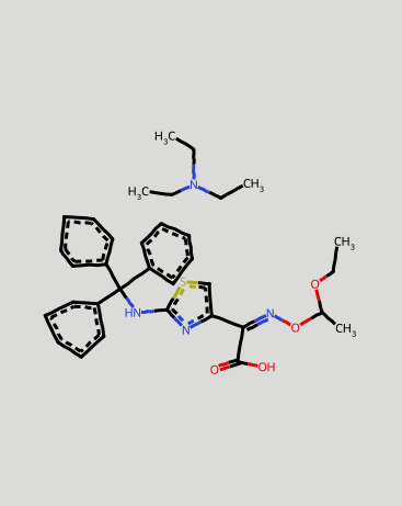 CCN(CC)CC.CCOC(C)O/N=C(\C(=O)O)c1csc(NC(c2ccccc2)(c2ccccc2)c2ccccc2)n1